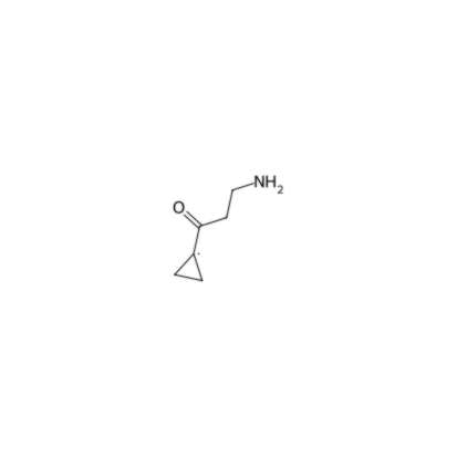 NCCC(=O)[C]1CC1